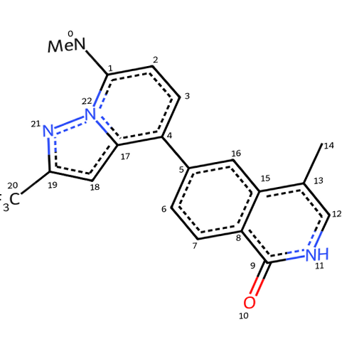 CNc1ccc(-c2ccc3c(=O)[nH]cc(C)c3c2)c2cc(C(F)(F)F)nn12